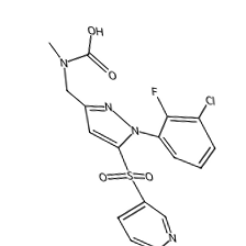 CN(Cc1cc(S(=O)(=O)c2cccnc2)n(-c2cccc(Cl)c2F)n1)C(=O)O